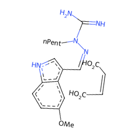 CCCCCN(/N=C\c1c[nH]c2ccc(OC)cc12)C(=N)N.O=C(O)/C=C\C(=O)O